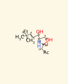 CCC(C)(C)C=CC(O)C(CO)NC(=O)CC(C)=O